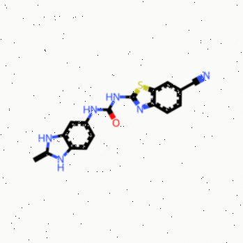 C=C1Nc2ccc(NC(=O)Nc3nc4ccc(C#N)cc4s3)cc2N1